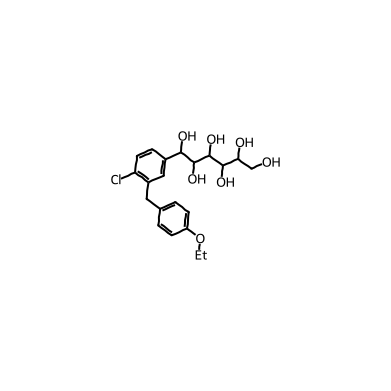 CCOc1ccc(Cc2cc(C(O)C(O)C(O)C(O)C(O)CO)ccc2Cl)cc1